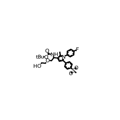 Cc1c(C(COCCO)NC(=O)OC(C)(C)C)cc(-c2ccc(S(C)(=O)=O)cc2)n1-c1ccc(F)cc1